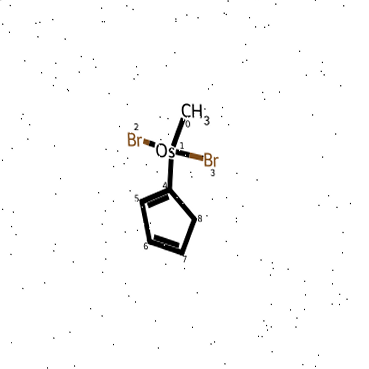 [CH3][Os]([Br])([Br])[C]1=CC=CC1